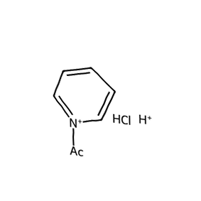 CC(=O)[n+]1ccccc1.Cl.[H+]